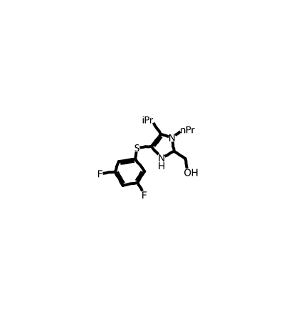 CCCN1C(C(C)C)=C(Sc2cc(F)cc(F)c2)NC1CO